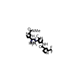 CNC(=O)c1cc(C(/C=C(\N)c2cc(NC(=O)c3ccnc(C(F)F)c3)cnc2C)=C/N)ccn1